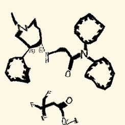 CN1CC[C@H](NCC(=O)N(c2ccccc2)c2ccccc2)[C@@H](c2ccccc2)C1.O=C(O)C(F)(F)F